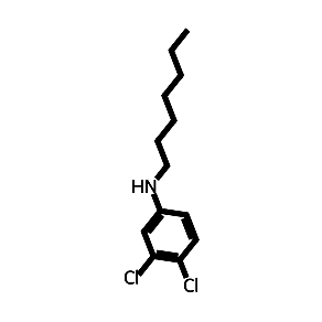 CCCCCCCNc1ccc(Cl)c(Cl)c1